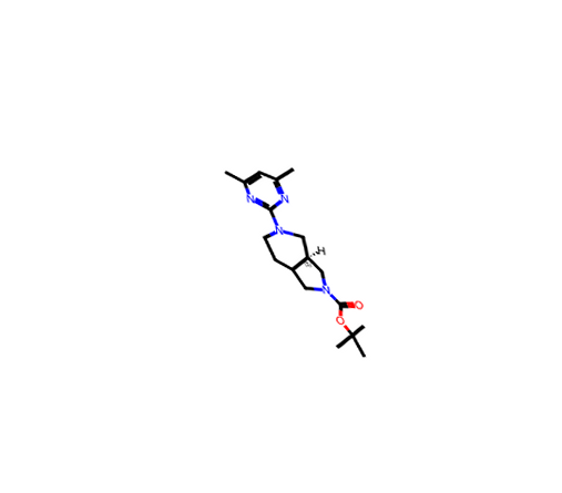 Cc1cc(C)nc(N2CCC3CN(C(=O)OC(C)(C)C)C[C@@H]3C2)n1